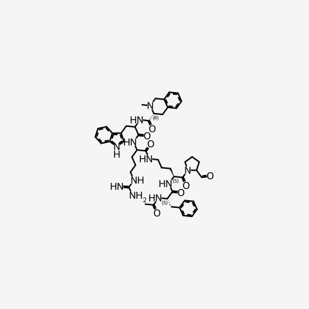 CC(=O)N[C@@H](Cc1ccccc1)C(=O)N[C@@H](CCCNC(=O)C(CCCNC(=N)N)NC(=O)C(Cc1c[nH]c2ccccc12)NC(=O)[C@H]1Cc2ccccc2CN1C)C(=O)N1CCCC1C=O